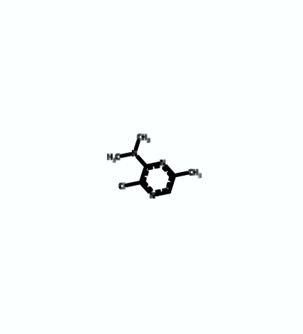 Cc1cnc(Cl)c(N(C)C)n1